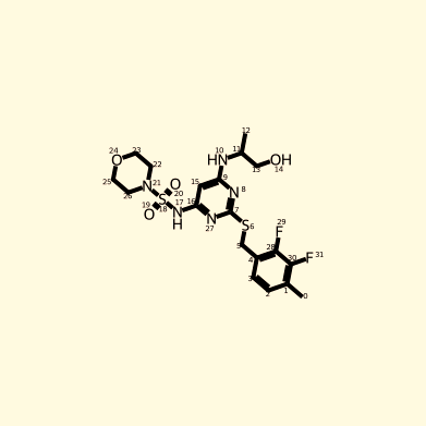 Cc1ccc(CSc2nc(NC(C)CO)cc(NS(=O)(=O)N3CCOCC3)n2)c(F)c1F